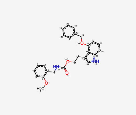 COc1ccccc1CNC(=O)OCCc1c[nH]c2cccc(OCc3ccccc3)c12